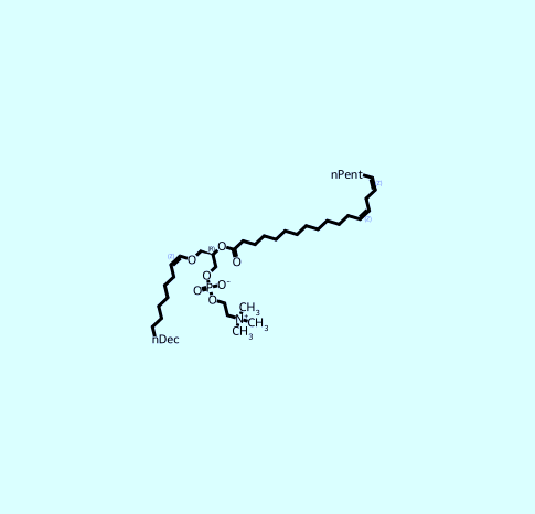 CCCCC/C=C\C/C=C\CCCCCCCCCCCC(=O)O[C@H](CO/C=C\CCCCCCCCCCCCCCCC)COP(=O)([O-])OCC[N+](C)(C)C